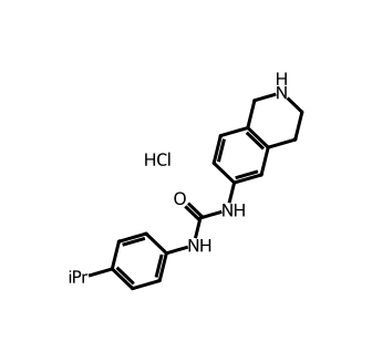 CC(C)c1ccc(NC(=O)Nc2ccc3c(c2)CCNC3)cc1.Cl